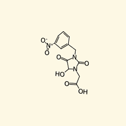 O=C(O)CN1C(=O)N(Cc2cccc([N+](=O)[O-])c2)C(=O)C1O